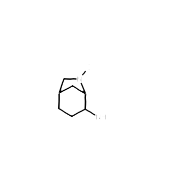 CN1CC2CCC(N)C1C2